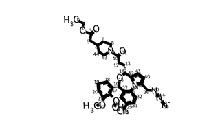 CCOC(=O)CC1CCN(C(=O)CC[C@H]2O[C@H](c3cccc(OC)c3OC)c3cc(Cl)ccc3-n3c(CN=[N+]=[N-])ccc32)CC1